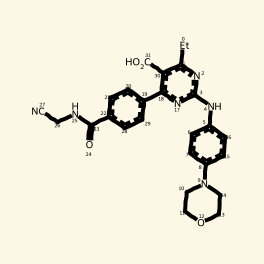 CCc1nc(Nc2ccc(N3CCOCC3)cc2)nc(-c2ccc(C(=O)NCC#N)cc2)c1C(=O)O